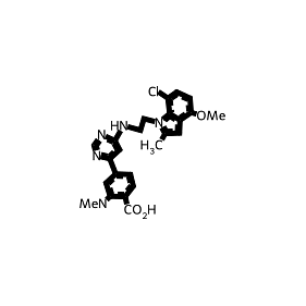 CNc1cc(-c2cc(NCCn3c(C)cc4c(OC)ccc(Cl)c43)ncn2)ccc1C(=O)O